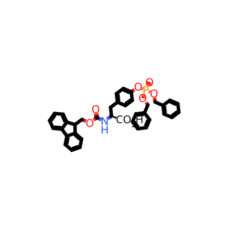 O=C(N[C@@H](Cc1ccc(OP(=O)(OCc2ccccc2)OCc2ccccc2)cc1)C(=O)O)OCC1c2ccccc2-c2ccccc21